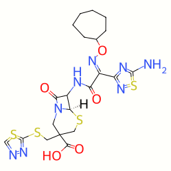 Nc1nc(C(=NOC2CCCCCC2)C(=O)NC2C(=O)N3CC(CSc4nncs4)(C(=O)O)CS[C@H]23)ns1